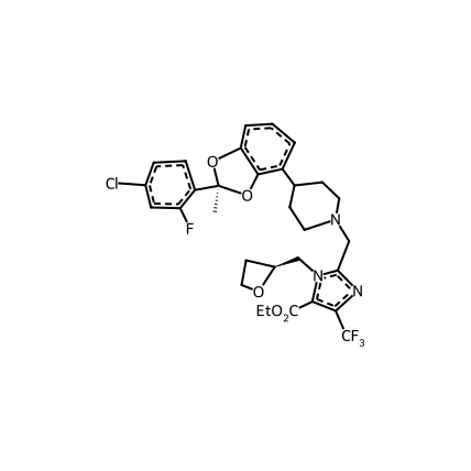 CCOC(=O)c1c(C(F)(F)F)nc(CN2CCC(c3cccc4c3O[C@@](C)(c3ccc(Cl)cc3F)O4)CC2)n1C[C@@H]1CCO1